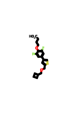 O=C(O)CCCOc1c(F)cc(-c2csc(COCC3CCC3)c2)cc1F